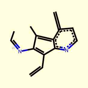 C=CC1=C(/N=C\C)C(C)=c2c1nccc2=C